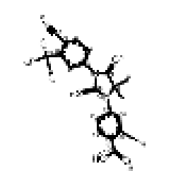 CC1(C)C(=O)N(c2ccc(C#N)c(C(F)(F)F)c2)C(=S)N1c1ccc(C(=O)O)c(F)c1